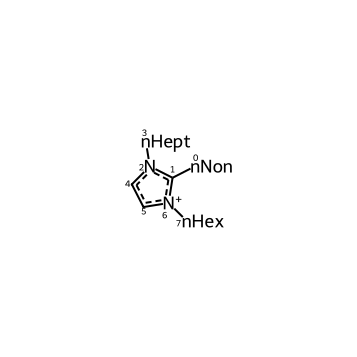 CCCCCCCCCc1n(CCCCCCC)cc[n+]1CCCCCC